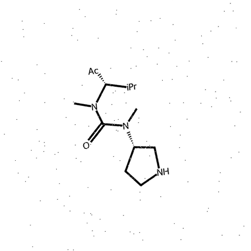 CC(=O)[C@H](C(C)C)N(C)C(=O)N(C)[C@H]1CCNC1